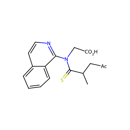 CC(=O)CC(C)C(=S)N(CC(=O)O)c1nccc2ccccc12